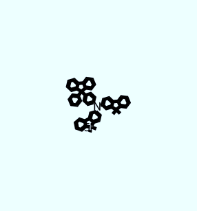 CC1(C)c2ccccc2-c2ccc(N(c3ccc(C4(c5ccccc5)c5ccccc5-c5ccccc54)cc3)c3ccc4c(c3)-c3ccccc3[Si]4(C)C)cc21